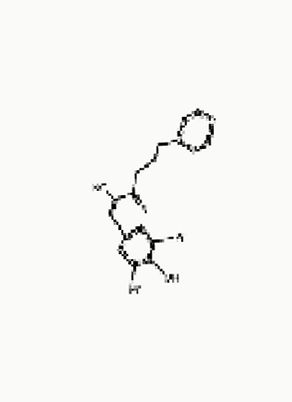 CC(C)c1cc(C=C(C#N)C(=S)CCCc2ccccc2)cc(C(C)C)c1O